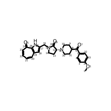 COc1ccc(C(=O)C2CCN([C@@H]3CCN(Cc4cc5ccccc(=O)c5[nH]4)C3=O)CC2)cc1